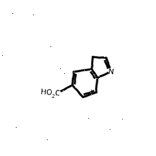 O=C(O)c1ccc2c(c1)CC=N2